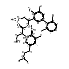 Cc1cc(-c2c(C)cccc2C)cc(C(CC(=O)O)NC(=O)C(CC(C)C)n2cc(CCN(C)C)cc(C)c2=O)c1F